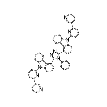 c1ccc(-n2c(-c3cccc4c3c3ccccc3n4-c3cccc(-c4cccnc4)n3)nnc2-c2cccc3c2c2ccccc2n3-c2cccc(-c3cccnc3)n2)cc1